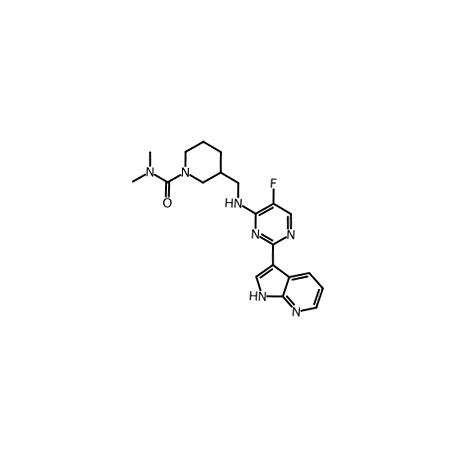 CN(C)C(=O)N1CCCC(CNc2nc(-c3c[nH]c4ncccc34)ncc2F)C1